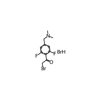 Br.CN(C)Cc1cc(F)c(C(=O)CBr)c(F)c1